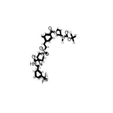 Cc1cc(C(=O)N2CCC(N(C)C(=O)OC(C)(C)C)C2)ccc1CCS(=O)(=O)N1CCC2(CC1)N=C(c1cccc(C(F)(F)F)c1)NC2=O